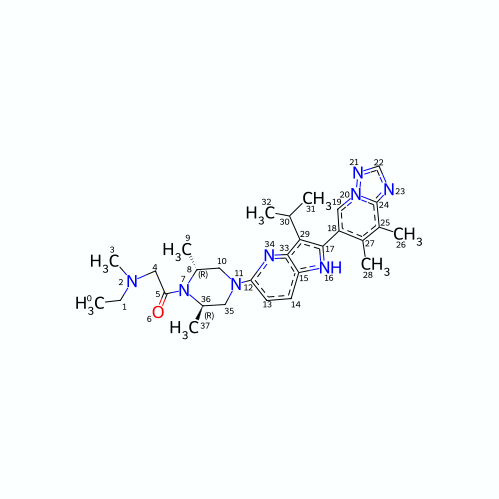 CCN(C)CC(=O)N1[C@H](C)CN(c2ccc3[nH]c(-c4cn5ncnc5c(C)c4C)c(C(C)C)c3n2)C[C@H]1C